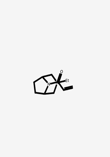 C=CC(=O)N1C2CCC1CN(CC)C2